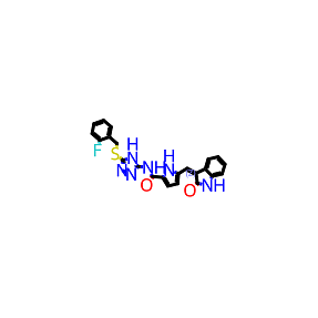 O=C1Nc2ccccc2/C1=C/c1ccc(C(=O)Nc2nnc(SCc3ccccc3F)[nH]2)[nH]1